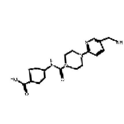 NCc1ccc(N2CCN(C(=O)NC3CCC(C(=O)O)CC3)CC2)nc1